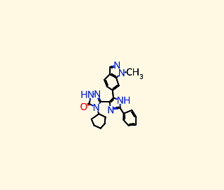 Cn1ncc2ccc(-c3[nH]c(-c4ccccc4)nc3-c3n[nH]c(=O)n3C3CCCCC3)cc21